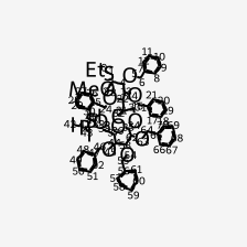 CCSC(OC)C(OCc1ccccc1)C(OCc1ccccc1)C(OCc1ccccc1)C(C)COC1OC(COSP(I)I)C(OCc2ccccc2)C(OCc2ccccc2)C1OCc1ccccc1